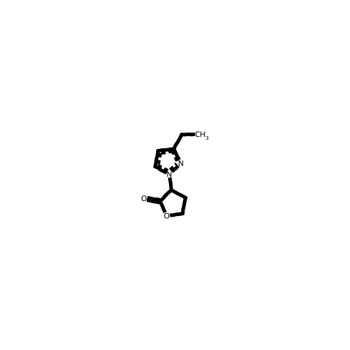 CCc1ccn(C2CCOC2=O)n1